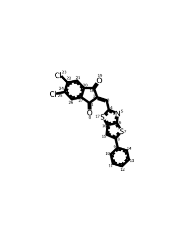 O=C1C(=Cc2nc3sc(-c4ccccc4)cc3s2)C(=O)c2cc(Cl)c(Cl)cc21